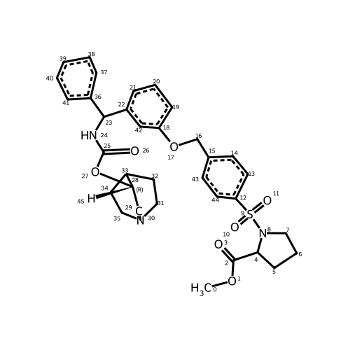 COC(=O)C1CCCN1S(=O)(=O)c1ccc(COc2cccc(C(NC(=O)O[C@H]3CN4CCC3CC4)c3ccccc3)c2)cc1